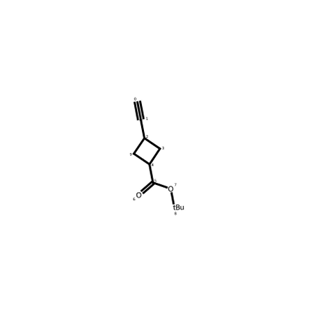 C#CC1CC(C(=O)OC(C)(C)C)C1